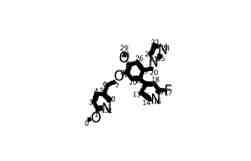 COc1ccc(CCOc2cc(-c3ccnc(F)c3)c(Cn3ccnc3)cc2OC)cn1